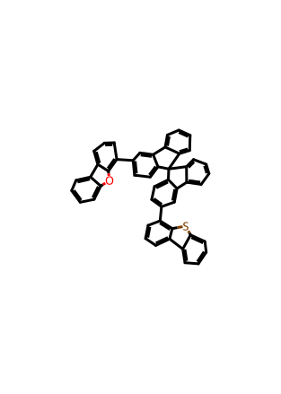 c1ccc2c(c1)-c1cc(-c3cccc4c3oc3ccccc34)ccc1C21c2ccccc2-c2cc(-c3cccc4c3sc3ccccc34)ccc21